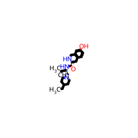 CCC1CCN(C[C@@H](NC(=O)[C@H]2Cc3ccc(O)cc3CN2)C(C)C)CC1